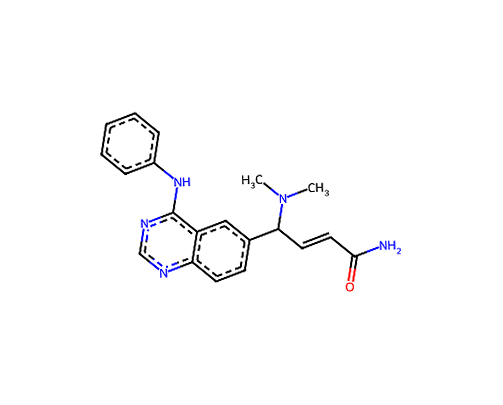 CN(C)C(C=CC(N)=O)c1ccc2ncnc(Nc3ccccc3)c2c1